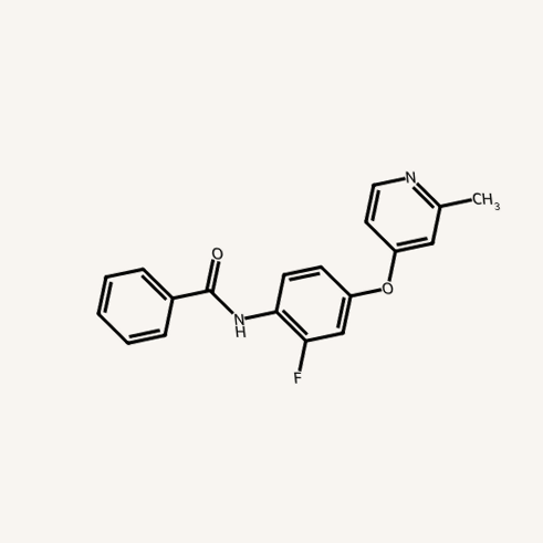 Cc1cc(Oc2ccc(NC(=O)c3ccccc3)c(F)c2)ccn1